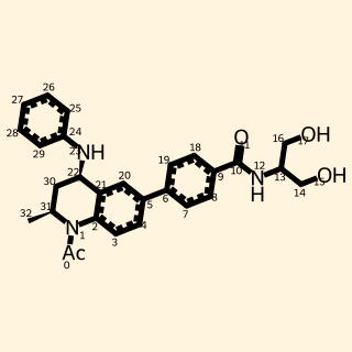 CC(=O)N1c2ccc(-c3ccc(C(=O)NC(CO)CO)cc3)cc2[C@H](Nc2ccccc2)C[C@@H]1C